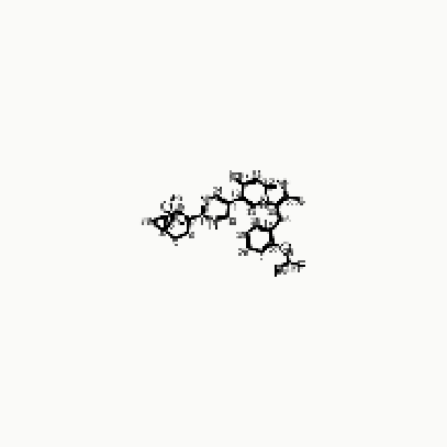 COC(=O)C12CCC(c3ncc(-c4cn5c(Cc6ccccc6OC(F)F)c(C)nc5cc4F)cn3)CC1C2